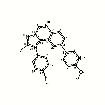 COc1ccc(-c2ccc3ncc4nc(C)n(-c5ccc(F)cc5)c4c3c2)cn1